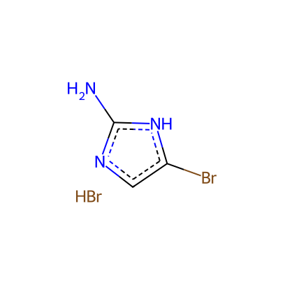 Br.Nc1ncc(Br)[nH]1